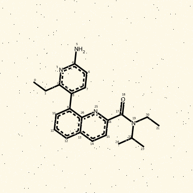 CCc1nc(N)ccc1-c1cccc2ccc(C(=O)N(CC)C(C)C)nc12